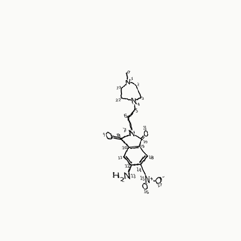 CN1CCN(CCN2C(=O)c3cc(N)c([N+](=O)[O-])cc3C2=O)CC1